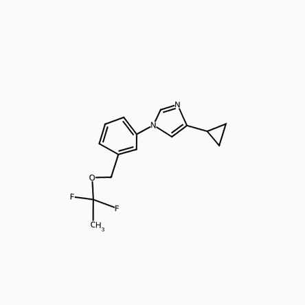 CC(F)(F)OCc1cccc(-n2cnc(C3CC3)c2)c1